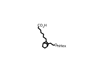 CCCCCCOCCC1C2CCC(C2)C1CCCCCCC(=O)O